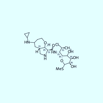 CSC1O[C@H]([C@H](NC(=O)[C@H]2NC[C@@H]3CC(NC4CC4)CCO[C@H]32)[C@H](C)Cl)C(O)[C@@H](O)[C@H]1O